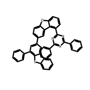 c1ccc(-c2nc(-c3ccccc3)nc(-c3cccc4oc5ccc(-c6cc(-c7ccccc7)c7sc8ccccc8c7c6)cc5c34)n2)cc1